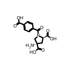 N[C@@]1(C(=O)O)C[C@H](C(=O)O)N(C(=O)c2ccc(C(=O)O)cc2)C1